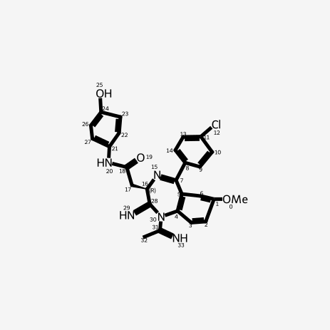 COc1ccc2c(c1)C(c1ccc(Cl)cc1)=N[C@H](CC(=O)Nc1ccc(O)cc1)C(=N)N2C(C)=N